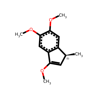 COC1=C[C@H](C)c2cc(OC)c(OC)cc21